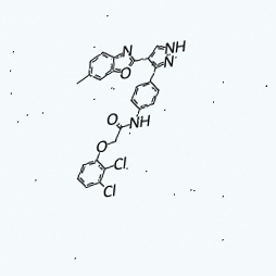 Cc1ccc2nc(-c3c[nH]nc3-c3ccc(NC(=O)COc4cccc(Cl)c4Cl)cc3)oc2c1